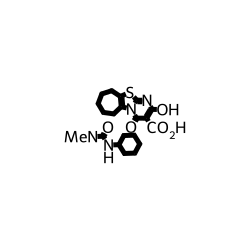 CNC(=O)NC1CCCCC1.O=C(O)c1c(O)nc2sc3c(n2c1=O)CCCCC3